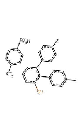 Cc1ccc(-c2cccc(S)c2-c2ccc(C)cc2)cc1.O=S(=O)(O)c1ccc(C(F)(F)F)cc1